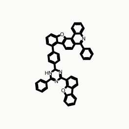 c1ccc(C2=NC(c3cccc4c3oc3ccccc34)=NC(c3ccc(-c4cccc5oc6c(ccc7c(-c8ccccc8)nc8ccccc8c76)c45)cc3)N2)cc1